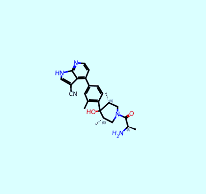 Cc1cc(-c2ccnc3[nH]cc(C#N)c23)ccc1C1(O)[C@H](C)CN(C(=O)[C@@H](C)N)C[C@@H]1C